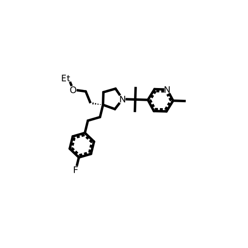 CCOCC[C@]1(CCc2ccc(F)cc2)CCN(C(C)(C)c2ccc(C)nc2)C1